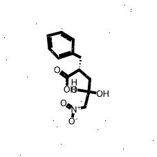 O=C(O)[C@H](Cc1ccccc1)CC(O)(O)C[N+](=O)[O-]